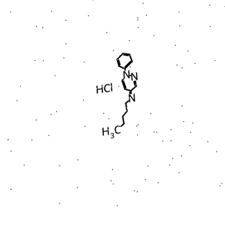 CCCCCN=c1ccn(-c2ccccc2)nc1.Cl